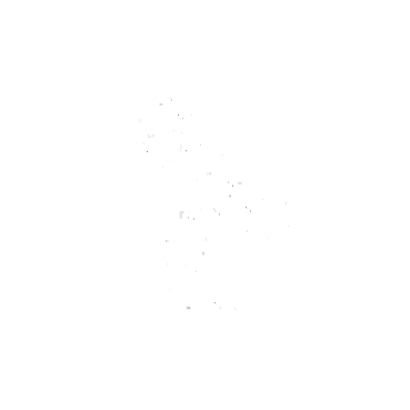 CNCC1(c2ccc(Nc3nc(N4CCCCC4)nc4c3CCN(c3ncccc3C(F)(F)F)CC4)cc2)CC1